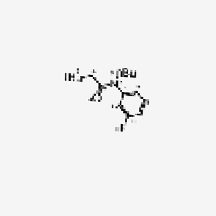 CCCCN(C(=O)CC(C)(C)C)c1cccc(F)c1